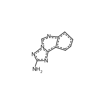 Nc1nc2c3ccccc3ncn2n1